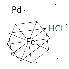 Cl.[CH]12[CH]3[CH]4[CH]5[CH]1[Fe]23451678[CH]2[CH]1[CH]6[CH]7[CH]28.[Pd]